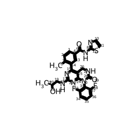 Cc1ccc(C(=O)Nc2nccs2)cc1-c1nc(NC[C@H](C)O)nc2c1CNC(=O)N2c1c(F)cccc1F